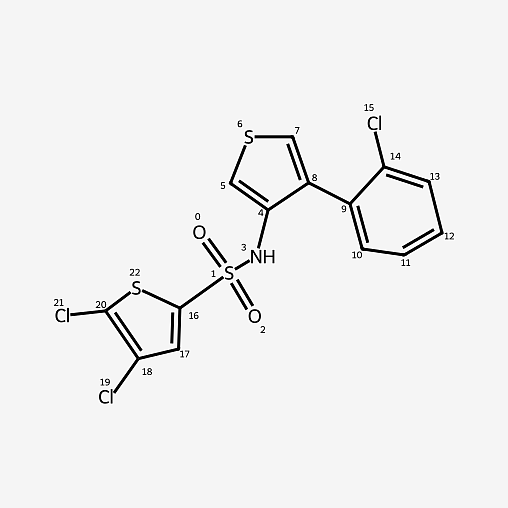 O=S(=O)(Nc1cscc1-c1ccccc1Cl)c1cc(Cl)c(Cl)s1